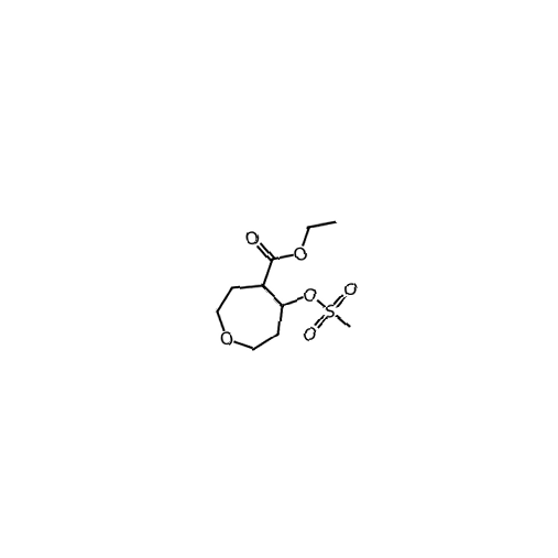 CCOC(=O)C1CCOCCC1OS(C)(=O)=O